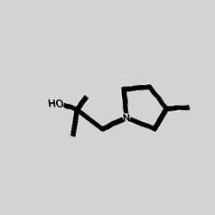 CC1CCN(CC(C)(C)O)C1